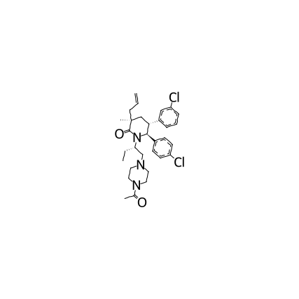 C=CC[C@@]1(C)C[C@H](c2cccc(Cl)c2)[C@@H](c2ccc(Cl)cc2)N([C@@H](CC)CN2CCN(C(C)=O)CC2)C1=O